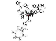 CS(=O)(=O)O[C@H]1C2OC(=O)C[C@H]([C@@H]1COCc1ccccc1)[C@@H]2O